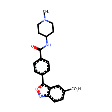 CN1CCC(NC(=O)c2ccc(-c3onc4ccc(C(=O)O)cc34)cc2)CC1